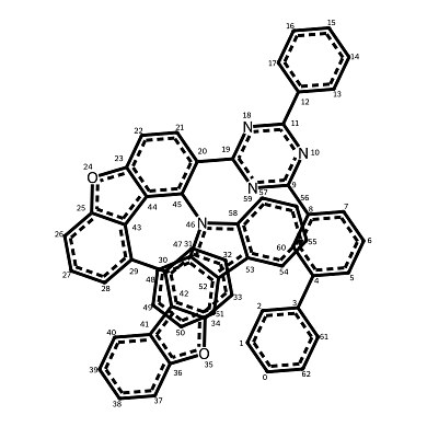 c1ccc(-c2cccc(-c3nc(-c4ccccc4)nc(-c4ccc5oc6cccc(-c7cccc8oc9ccccc9c78)c6c5c4-n4c5ccccc5c5ccccc54)n3)c2)cc1